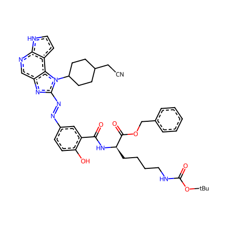 CC(C)(C)OC(=O)NCCCC[C@@H](NC(=O)c1cc(/N=N/c2nc3cnc4[nH]ccc4c3n2C2CCC(CC#N)CC2)ccc1O)C(=O)OCc1ccccc1